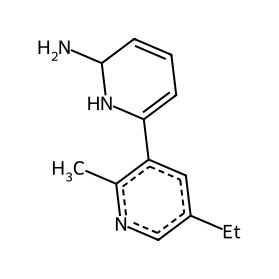 CCc1cnc(C)c(C2=CC=CC(N)N2)c1